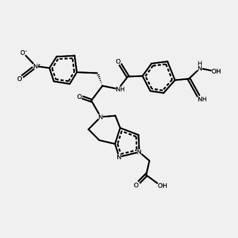 N=C(NO)c1ccc(C(=O)N[C@@H](Cc2ccc([N+](=O)[O-])cc2)C(=O)N2CCc3nn(CC(=O)O)cc3C2)cc1